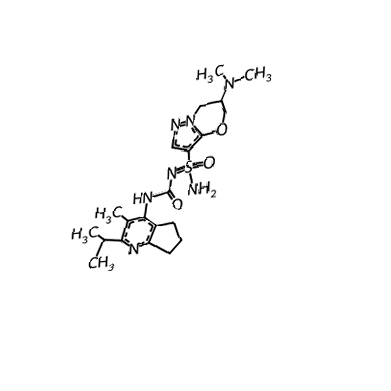 Cc1c(C(C)C)nc2c(c1NC(=O)N=S(N)(=O)c1cnn3c1OCC(N(C)C)C3)CCC2